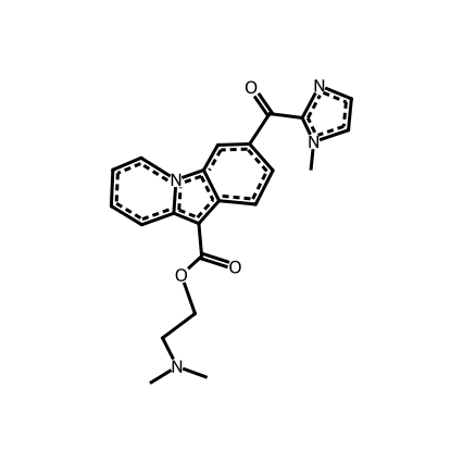 CN(C)CCOC(=O)c1c2ccc(C(=O)c3nccn3C)cc2n2ccccc12